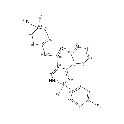 CC(C)C1(c2ccc(F)cc2)N=C(c2cccnc2)C(C(=O)NC2=CCC(F)(F)CC2)=CN1